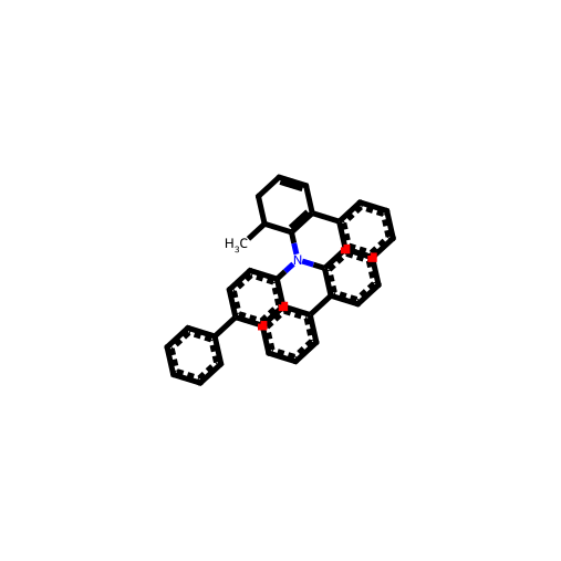 CC1CC=CC(c2ccccc2)=C1N(c1ccc(-c2ccccc2)cc1)c1ccccc1-c1ccccc1